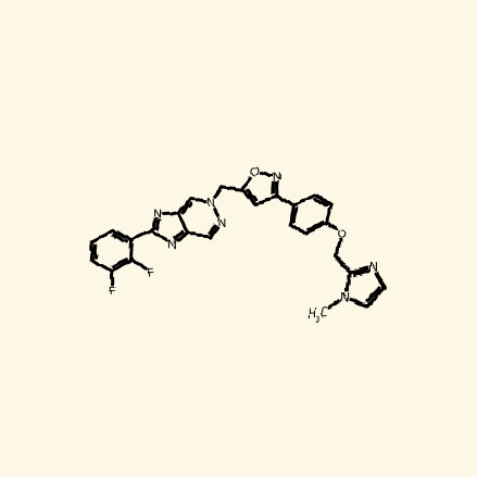 Cn1ccnc1COc1ccc(-c2cc(Cn3cc4nc(-c5cccc(F)c5F)nc-4cn3)on2)cc1